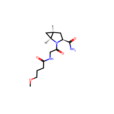 COCCCC(=O)NCC(=O)N1[C@H]2C[C@@]2(C)C[C@H]1C(N)=O